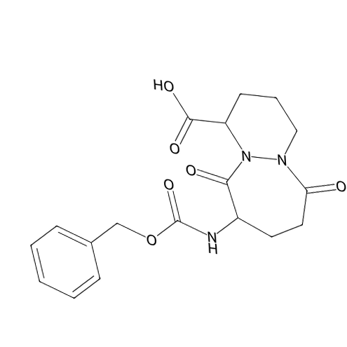 O=C(NC1CCC(=O)N2CCCC(C(=O)O)N2C1=O)OCc1ccccc1